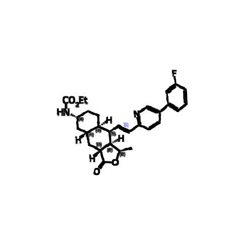 CCOC(=O)N[C@@H]1CC[C@@H]2[C@@H](C1)C[C@H]1C(=O)O[C@H](C)[C@@H]1[C@@H]2/C=C/c1ccc(-c2cccc(F)c2)cn1